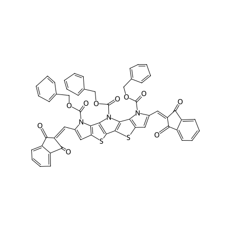 O=C1C(=Cc2cc3sc4c5sc6cc(C=C7C(=O)c8ccccc8C7=O)n(C(=O)OCc7ccccc7)c6c5n(C(=O)OCc5ccccc5)c4c3n2C(=O)OCc2ccccc2)C(=O)c2ccccc21